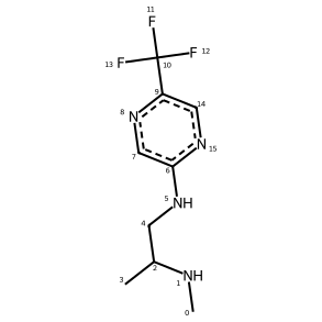 CNC(C)CNc1cnc(C(F)(F)F)cn1